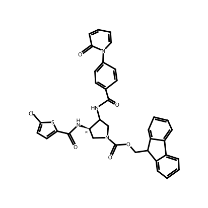 O=C(NC1CN(C(=O)OCC2c3ccccc3-c3ccccc32)C[C@H]1NC(=O)c1ccc(Cl)s1)c1ccc(-n2ccccc2=O)cc1